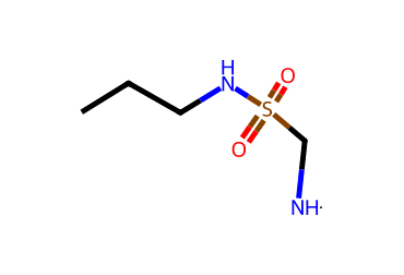 CCCNS(=O)(=O)C[NH]